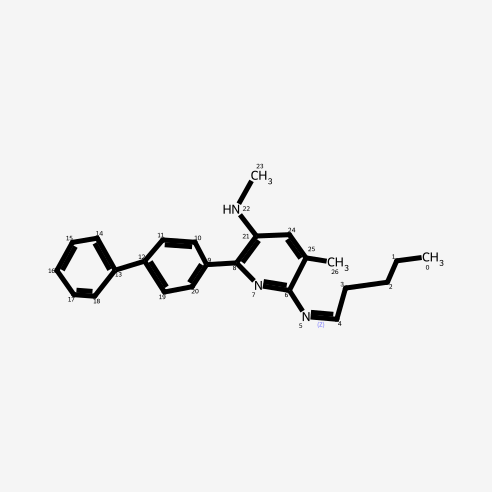 CCCC/C=N\c1nc(-c2ccc(-c3ccccc3)cc2)c(NC)cc1C